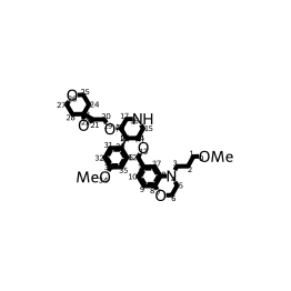 COCCCN1CCOc2ccc(CO[C@H]3CNC[C@@H](OCC4OC45CCOCC5)[C@@H]3c3ccc(OC)cc3)cc21